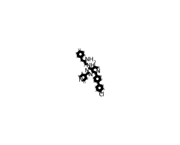 N[C@H](CNc1nc(-c2ccncc2)nc2c(-c3ccc(-c4ccc(Cl)cc4)cc3)nccc12)Cc1ccccc1